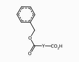 O=[C](O)[Y][C](=O)OCc1ccccc1